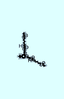 C=CC(=O)OCCCCCNC(=O)OCCOc1ccc(C(C)(C)C)cc1OCCOC(=O)NCCCCCOC(=O)C=C